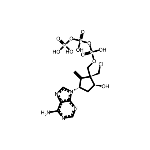 C=C1[C@@H](n2cnc3c(N)ncnc32)C[C@H](O)[C@@]1(CCl)COP(=O)(O)OP(=O)(O)OP(=O)(O)O